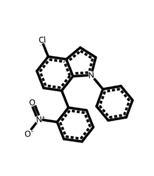 O=[N+]([O-])c1ccccc1-c1ccc(Cl)c2ccn(-c3ccccc3)c12